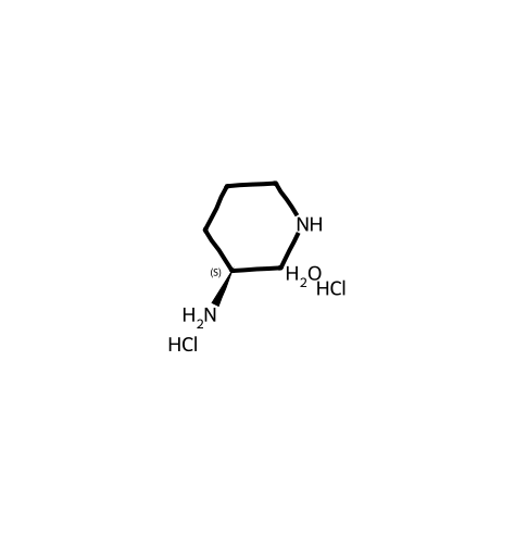 Cl.Cl.N[C@H]1CCCNC1.O